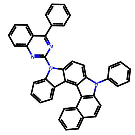 c1ccc(-c2nc(-n3c4ccccc4c4c5c6c7ccccc7ccc6n(-c6ccccc6)c5ccc43)nc3ccccc23)cc1